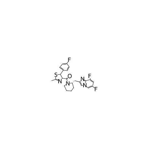 CC1=NC(C(=O)N2CCCC[C@H]2Cc2cn3cc(F)cc(F)c3n2)C(c2ccc(F)cc2)S1